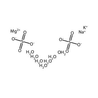 O.O.O.O.O.O.O.O=S(=O)([O-])[O-].O=S(=O)([O-])[O-].[K+].[Mg+2].[Na+]